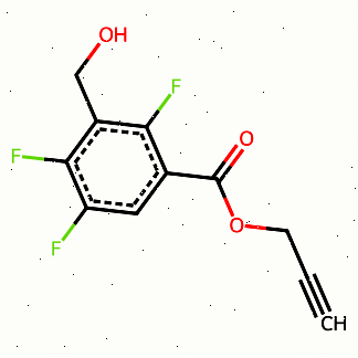 C#CCOC(=O)c1cc(F)c(F)c(CO)c1F